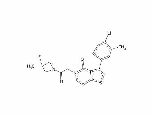 Cc1cc(-c2csc3ccn(CC(=O)N4CC(C)(F)C4)c(=O)c23)ccc1Cl